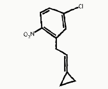 O=[N+]([O-])c1ccc(Cl)cc1CC=C1CC1